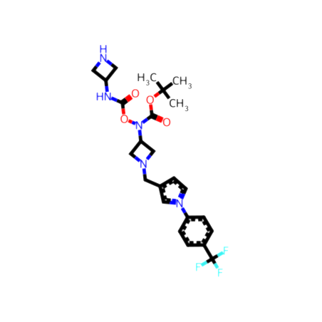 CC(C)(C)OC(=O)N(OC(=O)NC1CNC1)C1CN(Cc2ccn(-c3ccc(C(F)(F)F)cc3)c2)C1